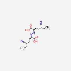 CCC(C#N)CC=C(N=NC(=CCC(C#N)CC)C(=O)O)C(=O)O